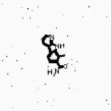 Cc1c(C(N)=O)ccc2c1[nH]c1ncccc12